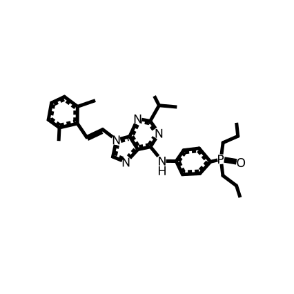 CCCP(=O)(CCC)c1ccc(Nc2nc(C(C)C)nc3c2ncn3C=Cc2c(C)cccc2C)cc1